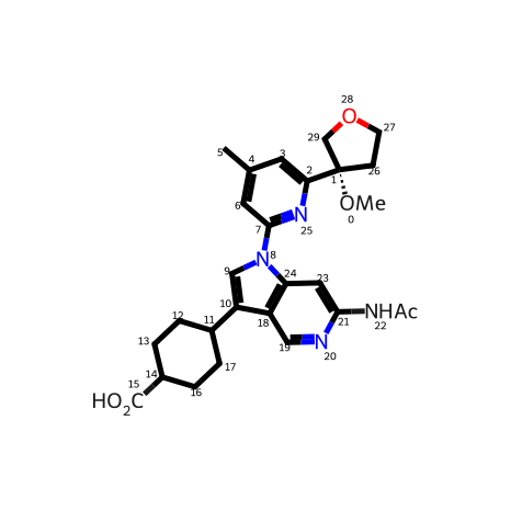 CO[C@@]1(c2cc(C)cc(-n3cc(C4CCC(C(=O)O)CC4)c4cnc(NC(C)=O)cc43)n2)CCOC1